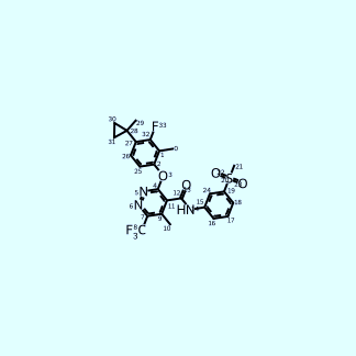 Cc1c(Oc2nnc(C(F)(F)F)c(C)c2C(=O)Nc2cccc(S(C)(=O)=O)c2)ccc(C2(C)CC2)c1F